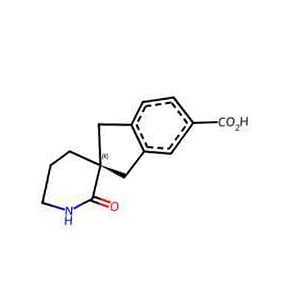 O=C(O)c1ccc2c(c1)C[C@@]1(CCCNC1=O)C2